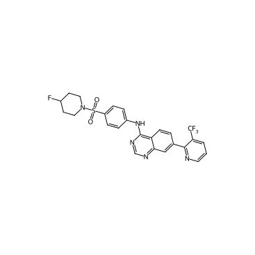 O=S(=O)(c1ccc(Nc2ncnc3cc(-c4ncccc4C(F)(F)F)ccc23)cc1)N1CCC(F)CC1